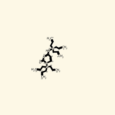 C=CC[Si](CC=C)(CC=C)Nc1ccn([Si](CC=C)(CC=C)CC=C)c(=O)n1